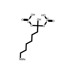 CNCCCCCCC(O)(O[PH](=O)O)O[PH](=O)O